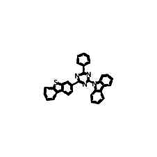 c1ccc(-c2nc(-c3ccc4c(c3)sc3ccccc34)nc(-n3c4ccccc4c4ccccc43)n2)cc1